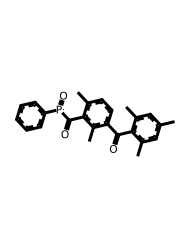 Cc1cc(C)c(C(=O)c2ccc(C)c(C(=O)[P](=O)c3ccccc3)c2C)c(C)c1